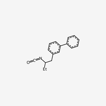 CCC(Cc1cccc(-c2ccccc2)c1)N=C=O